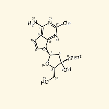 CCCCC[C@]1(O)C[C@H](n2cnc3c(N)nc(Cl)nc32)O[C@@H]1CO